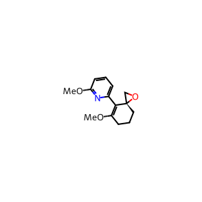 COC1=C(c2cccc(OC)n2)[C@]2(CCC1)CO2